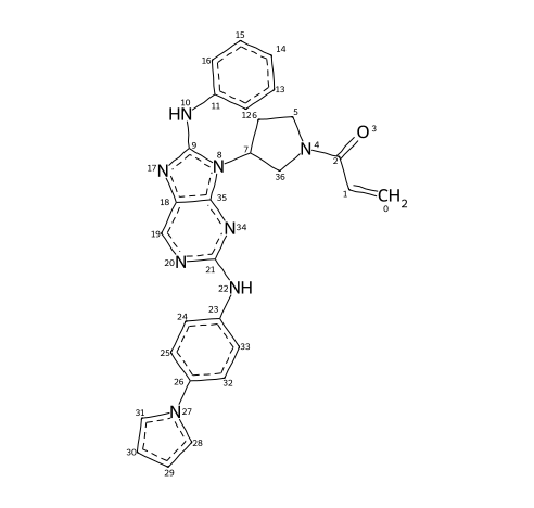 C=CC(=O)N1CCC(n2c(Nc3ccccc3)nc3cnc(Nc4ccc(-n5cccc5)cc4)nc32)C1